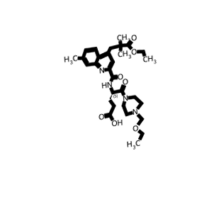 CCOCN1CCN(C(=O)[C@H](CCC(=O)O)NC(=O)c2cc(CC(C)(C)C(=O)OCC)c3ccc(C)cc3n2)CC1